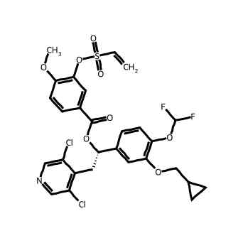 C=CS(=O)(=O)Oc1cc(C(=O)O[C@@H](Cc2c(Cl)cncc2Cl)c2ccc(OC(F)F)c(OCC3CC3)c2)ccc1OC